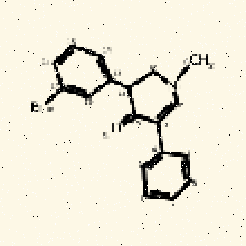 CN1C=C(c2ccccc2)C(=O)C(c2cccc(Br)c2)C1